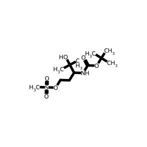 CC(C)(C)OC(=O)NC(CCOS(C)(=O)=O)C(C)(C)O